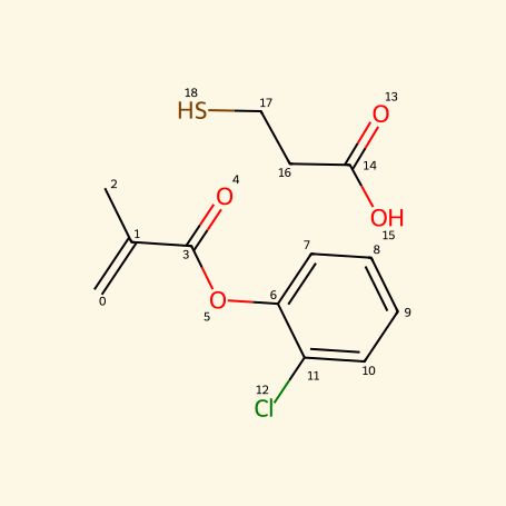 C=C(C)C(=O)Oc1ccccc1Cl.O=C(O)CCS